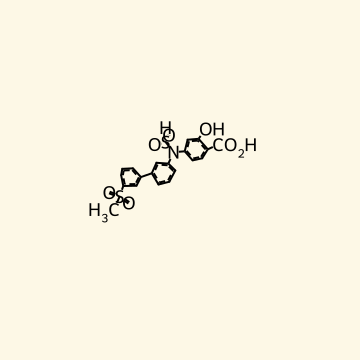 CS(=O)(=O)c1cccc(-c2cccc(N(c3ccc(C(=O)O)c(O)c3)[SH](=O)=O)c2)c1